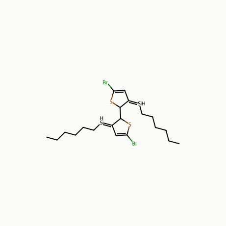 CCCCCC[SiH]=C1C=C(Br)SC1C1SC(Br)=CC1=[SiH]CCCCCC